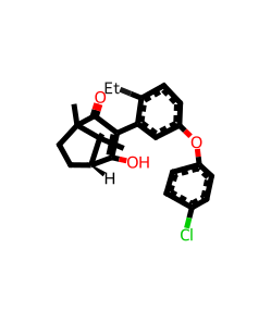 CCc1ccc(Oc2ccc(Cl)cc2)cc1C1=C(O)[C@@H]2CCC(C)(C1=O)C2(C)C